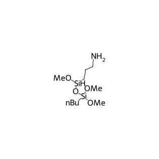 CCCC[Si](OC)(OC)O[SiH](CCCN)OC